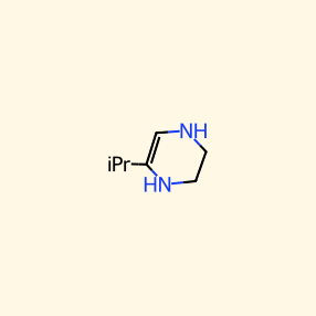 CC(C)C1=CNCCN1